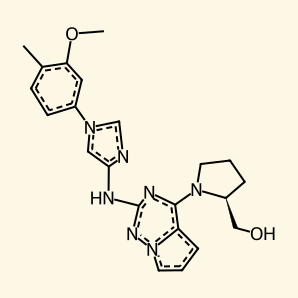 COc1cc(-n2cnc(Nc3nc(N4CCC[C@H]4CO)c4cccn4n3)c2)ccc1C